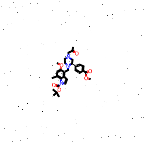 COC(=O)c1ccc([C@@H]2CN(CC(C)=O)CCN2Cc2c(OC)cc(C)c3c2ccn3C(=O)OC(C)(C)C)cc1